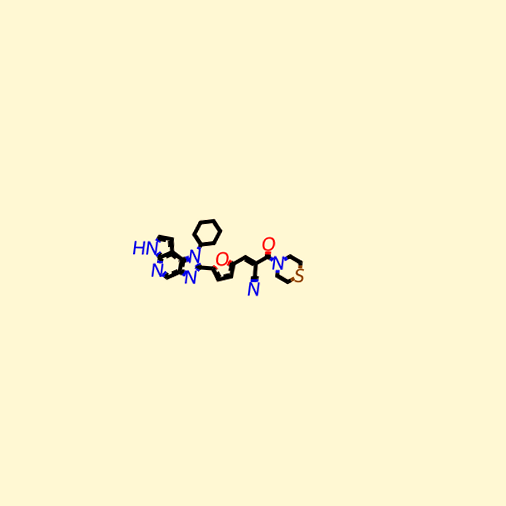 N#C/C(=C\c1ccc(-c2nc3cnc4[nH]ccc4c3n2C2CCCCC2)o1)C(=O)N1CCSCC1